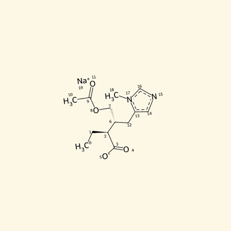 CC[C@H](C(=O)[O-])[C@H](COC(C)=O)Cc1cncn1C.[Na+]